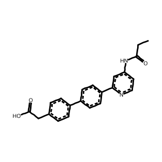 CCC(=O)Nc1ccnc(-c2ccc(-c3ccc(CC(=O)O)cc3)cc2)c1